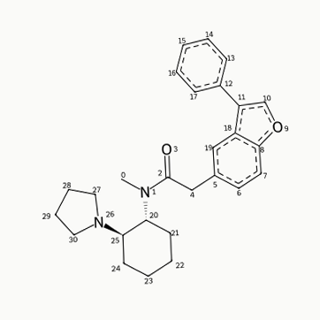 CN(C(=O)Cc1ccc2occ(-c3ccccc3)c2c1)[C@@H]1CCCC[C@H]1N1CCCC1